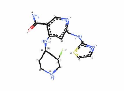 NC(=O)c1cnc(Nc2nccs2)cc1N[C@@H]1CCNC[C@@H]1F